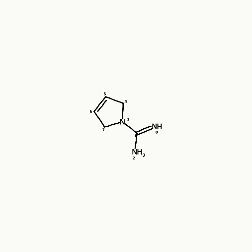 N=C(N)N1CC=CC1